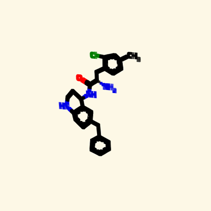 Cc1ccc(C[C@H](N)C(=O)N[C@@H]2CCNc3ccc(Cc4ccccc4)cc32)c(Cl)c1